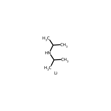 CC(C)NC(C)C.[Li]